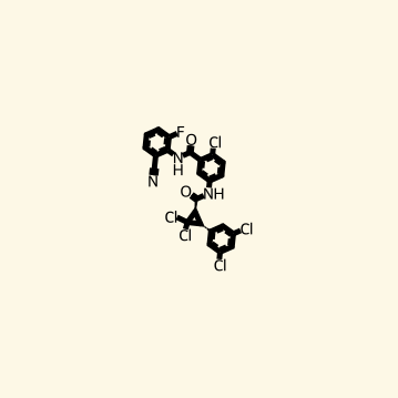 N#Cc1cccc(F)c1NC(=O)c1cc(NC(=O)[C@H]2[C@H](c3cc(Cl)cc(Cl)c3)C2(Cl)Cl)ccc1Cl